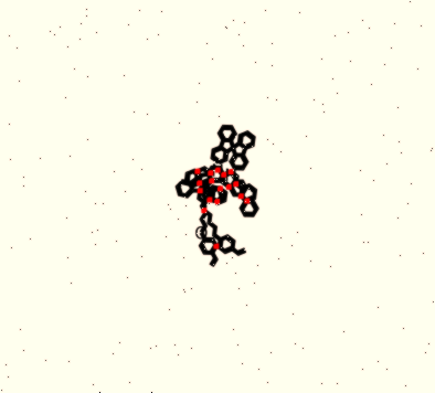 C=Cc1ccc(CCCCCCCC2(c3ccccc3)c3ccccc3-c3ccc(N(c4ccc(-c5ccccc5)cc4)c4ccc5c(c4)C4(c6ccccc6-5)c5ccccc5-c5ccc(N(c6ccc(-c7ccccc7)cc6)c6ccc7c(c6)C(CCCCCCOc6ccc(C=C)cc6)(c6ccccc6)c6ccccc6-7)cc54)cc32)cc1